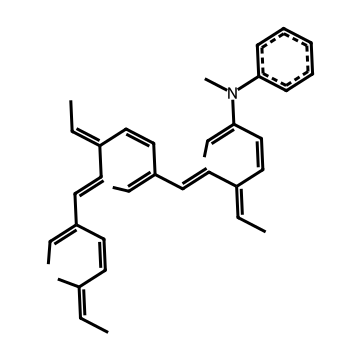 C\C=C(C)/C=C\C(C=CC(/C=C\C(C=CC(/C=C\C(=C/C)N(C)c1ccccc1)=C/C)=C/C)=C/C)=C/C